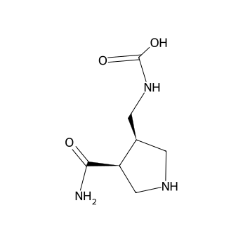 NC(=O)[C@@H]1CNC[C@@H]1CNC(=O)O